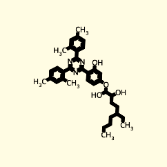 CCCCC(CC)CCC(O)C(O)Oc1ccc(-c2nc(-c3ccc(C)cc3C)nc(-c3ccc(C)cc3C)n2)c(O)c1